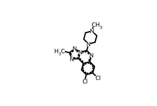 Cc1nc2c3cc(Cl)c(Cl)cc3nc(N3CCN(C)CC3)n2n1